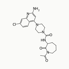 CC(=O)N1CCCCC(NC(=O)N2CCN(c3cc(N)nc4cc(Cl)ccc34)CC2)C1=O